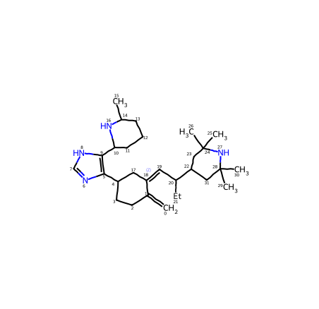 C=C1CCC(c2nc[nH]c2C2CCCC(C)N2)C/C1=C/C(CC)C1CC(C)(C)NC(C)(C)C1